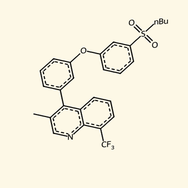 CCCCS(=O)(=O)c1cccc(Oc2cccc(-c3c(C)cnc4c(C(F)(F)F)cccc34)c2)c1